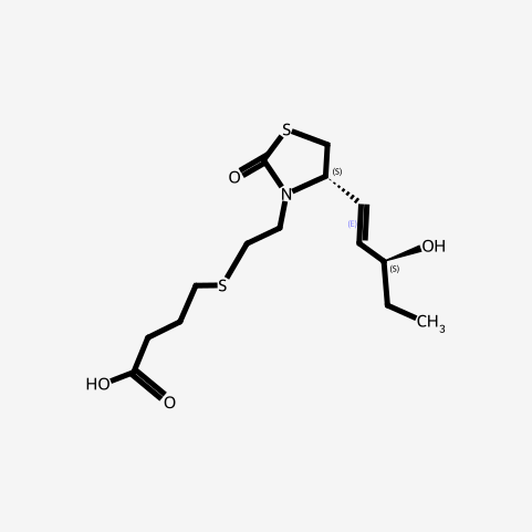 CC[C@H](O)/C=C/[C@H]1CSC(=O)N1CCSCCCC(=O)O